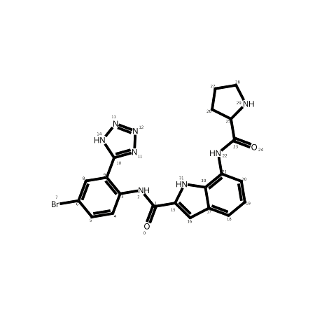 O=C(Nc1ccc(Br)cc1-c1nnn[nH]1)c1cc2cccc(NC(=O)C3CCCN3)c2[nH]1